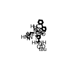 CSc1sc(C(=N)NC(=O)OC(C)(C)C)cc1S(=O)(=O)c1cccc(-c2ccccc2C)c1NC(=O)NCCc1nn[nH]n1